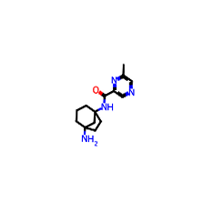 Cc1cncc(C(=O)NC23CCCC(N)(CC2)C3)n1